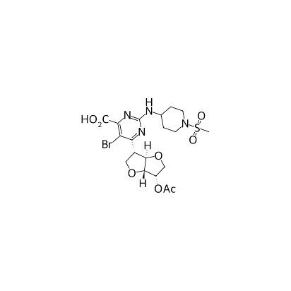 CC(=O)O[C@H]1CO[C@H]2[C@H]1OC[C@@H]2c1nc(NC2CCN(S(C)(=O)=O)CC2)nc(C(=O)O)c1Br